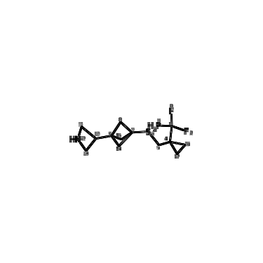 FC(F)(P)C1(CSC23CC(C4CNC4)(C2)C3)CC1